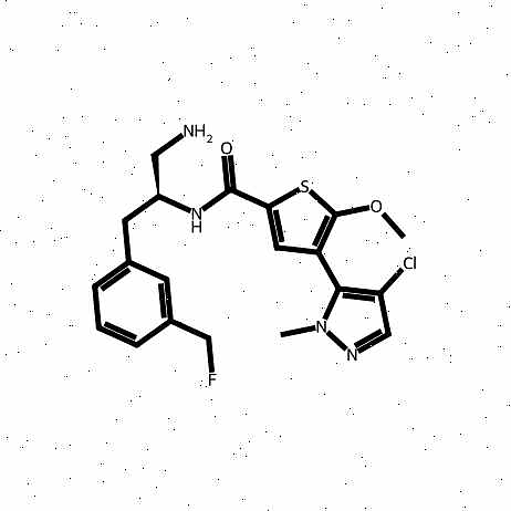 COc1sc(C(=O)N[C@H](CN)Cc2cccc(CF)c2)cc1-c1c(Cl)cnn1C